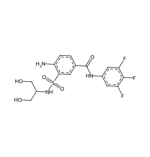 Nc1ccc(C(=O)Nc2cc(F)c(F)c(F)c2)cc1S(=O)(=O)NC(CO)CO